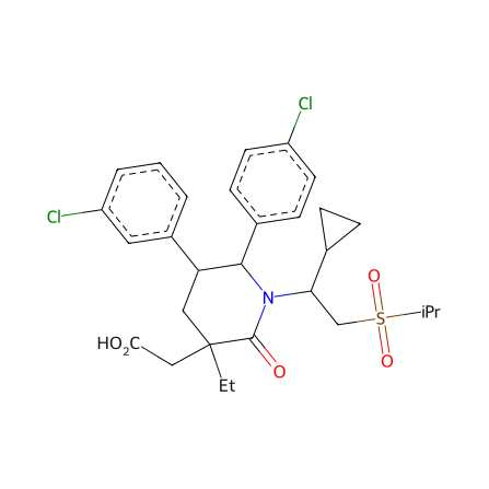 CCC1(CC(=O)O)CC(c2cccc(Cl)c2)C(c2ccc(Cl)cc2)N(C(CS(=O)(=O)C(C)C)C2CC2)C1=O